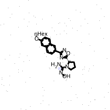 CCCCCCOc1ccc2cc(-c3noc([C@@H]4CCCN4/C(N)=N\O)n3)ccc2c1